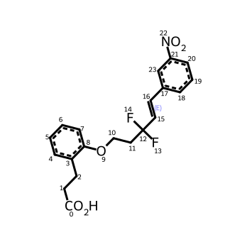 O=C(O)CCc1ccccc1OCCC(F)(F)/C=C/c1cccc([N+](=O)[O-])c1